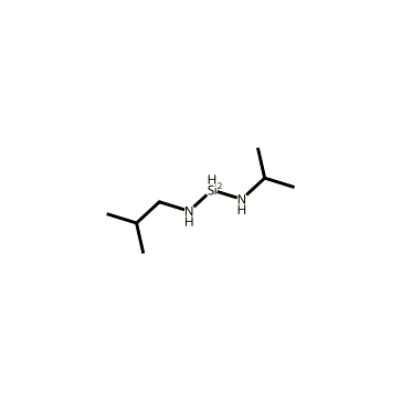 CC(C)CN[SiH2]NC(C)C